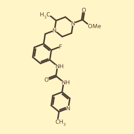 COC(=O)N1CCN(Cc2cccc(NC(=O)Nc3ccc(C)nc3)c2F)C(C)C1